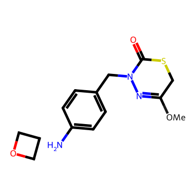 C1COC1.COC1=NN(Cc2ccc(N)cc2)C(=O)SC1